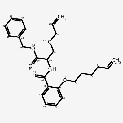 C=CCCCCOc1ccccc1C(=O)NC(COCC=C)C(=O)OCc1ccccc1